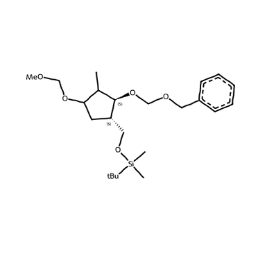 COCOC1C[C@@H](CO[Si](C)(C)C(C)(C)C)[C@H](OCOCc2ccccc2)C1C